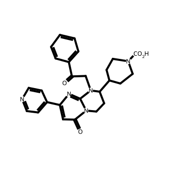 O=C(CN1c2nc(-c3ccncc3)cc(=O)n2CCC1C1CCN(C(=O)O)CC1)c1ccccc1